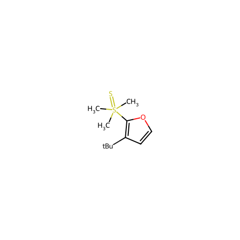 CC(C)(C)c1ccoc1S(C)(C)(C)=S